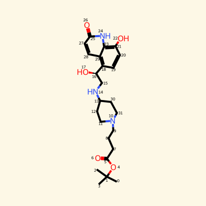 CC(C)(C)OC(=O)CCCN1CCC(NC[C@@H](O)c2ccc(O)c3[nH]c(=O)ccc23)CC1